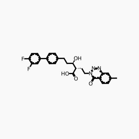 Cc1ccc2c(=O)n(CC[C@H](C(=O)O)[C@H](O)CCc3ccc(-c4ccc(F)c(F)c4)cc3)nnc2c1